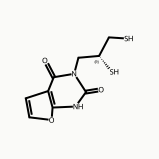 O=c1[nH]c2occc2c(=O)n1C[C@@H](S)CS